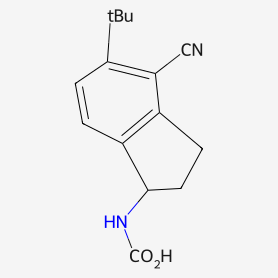 CC(C)(C)c1ccc2c(c1C#N)CCC2NC(=O)O